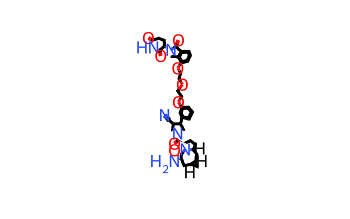 N#CC1CN(C(=O)[C@@H]2CC[C@@H]3C[C@H]4C[C@H]4C[C@H](N)C(=O)N32)CC1c1cccc(OCCOCCOc2cccc3c2CN(C2CCC(=O)NC2=O)C3=O)c1